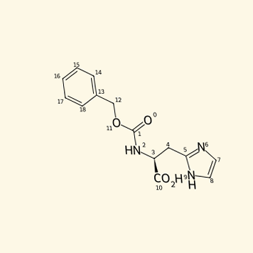 O=C(N[C@@H](Cc1ncc[nH]1)C(=O)O)OCc1ccccc1